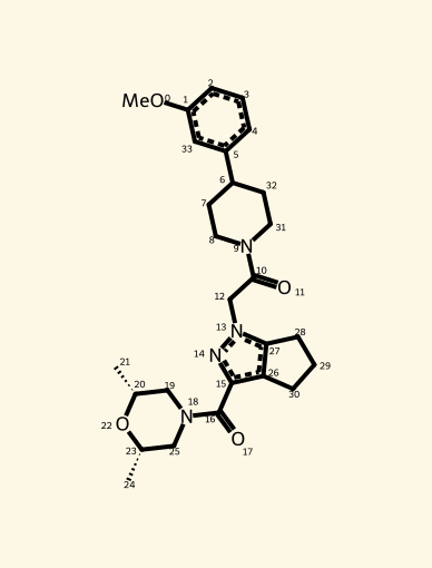 COc1cccc(C2CCN(C(=O)Cn3nc(C(=O)N4C[C@@H](C)O[C@@H](C)C4)c4c3CCC4)CC2)c1